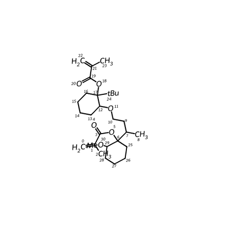 C=C(C)C(=O)OC1(C(C)CCOC2CCCCC2(OC(=O)C(=C)C)C(C)(C)C)CCCCC1OC